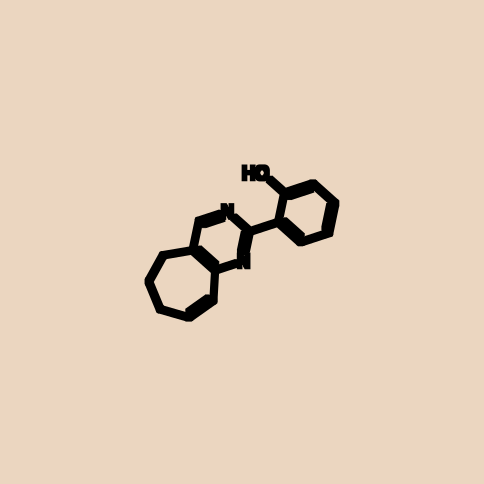 Oc1ccccc1-c1ncc2c(n1)C=CCCC2